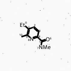 CCc1ccc(C(=O)NC)nc1C